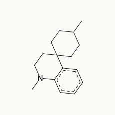 CC1CCC2(CC1)CCN(C)c1ccccc12